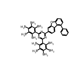 Bc1c(B)c(B)c(-c2nc(-c3ccc4c(c3)oc3cccc(-c5ccccc5)c34)nc(-c3c(B)c(B)c(B)c(B)c3B)n2)c(B)c1B